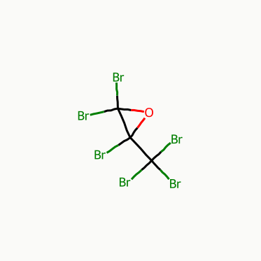 BrC(Br)(Br)C1(Br)OC1(Br)Br